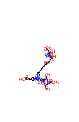 O=C(O)CCCC1CCN(c2nc(Nc3ccc(CC4CN(CC(=O)O)CCN(CC(=O)O)CCN(CC(=O)O)CCN4CC(=O)O)cc3)nc(N3CCN(CCCCCCCCCCC(=O)NCCCC[C@H](NC(=O)N[C@@H](CCC(=O)O)C(=O)O)C(=O)O)CC3)n2)CC1